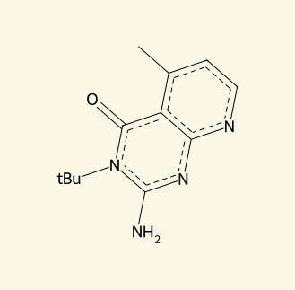 Cc1ccnc2nc(N)n(C(C)(C)C)c(=O)c12